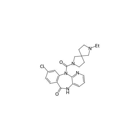 CCN1CCC2(CCN(C(=O)N3c4cc(Cl)ccc4C(=O)Nc4cccnc43)C2)C1